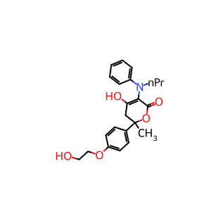 CCCN(C1=C(O)CC(C)(c2ccc(OCCO)cc2)OC1=O)c1ccccc1